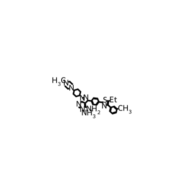 CCc1sc(-c2ccc(-c3nn(C4CCC(N5CCN(C)CC5)CC4)c4ncnc(N)c34)cc2)nc1-c1cccc(C)c1.N